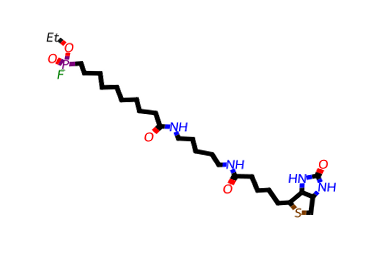 CCOP(=O)(F)CCCCCCCCCC(=O)NCCCCCNC(=O)CCCCC1SCC2NC(=O)NC21